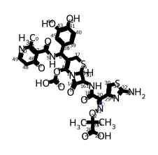 CC1=C(C(=O)NC(C2=C(OC(=O)O)N3C(=O)C(NC(=O)/C(=N\OC(C)(C)C(=O)O)c4csc(N)n4)[C@@H]3SC2)c2ccc(O)c(O)c2)C(=O)CC=N1